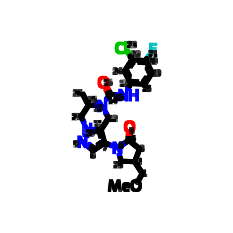 COCC1CC(=O)N(c2cnn3c2CN(C(=O)Nc2ccc(F)c(Cl)c2)C(C)C3)C1